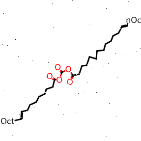 CCCCCCCCC=CCCCCCCCCCCCC(=O)OC(=O)OC(=O)CCCCCCCC=CCCCCCCCC